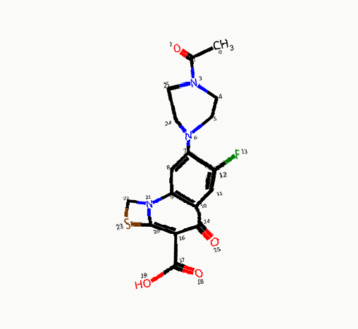 CC(=O)N1CCN(c2cc3c(cc2F)c(=O)c(C(=O)O)c2n3CS2)CC1